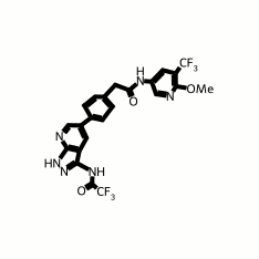 COc1ncc(NC(=O)Cc2ccc(-c3cnc4[nH]nc(NC(=O)C(F)(F)F)c4c3)cc2)cc1C(F)(F)F